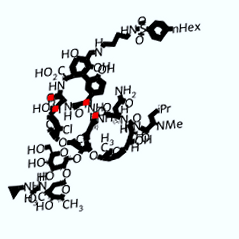 CCCCCCc1ccc(S(=O)(=O)NCCCCNCc2c(O)cc3c(c2O)-c2cc(ccc2O)[C@H]2NC(=O)[C@@H]4NC(=O)[C@H](CC(N)=O)NC(=O)[C@H](NC(=O)[C@@H](CC(C)C)NC)[C@H](O)c5ccc(c(C)c5)Oc5cc4cc(c5O[C@@H]4O[C@H](CO)[C@@H](O)[C@H](O)[C@H]4O[C@H]4C[C@](C)(NC(=O)NC5CC5)[C@H](O)[C@H](C)O4)Oc4ccc(cc4Cl)[C@@H](O)[C@H](NC2=O)C(=O)N[C@@H]3C(=O)O)cc1